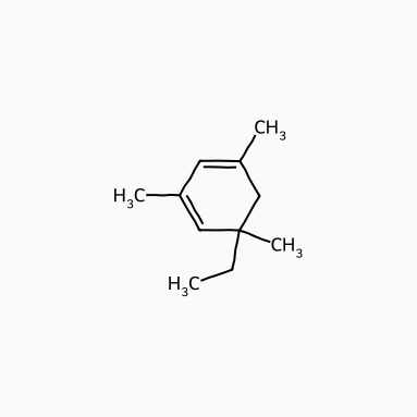 CCC1(C)C=C(C)C=C(C)C1